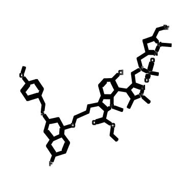 CCOC(=O)c1c(CCCOc2cc(SCc3ccc(OC)cc3)cc3cc(F)ccc23)c2ccc(Cl)c(-c3c(CN(Cc4cc(CBr)n(C)n4)S(C)(=O)=O)nn(C)c3C)c2n1C